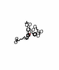 COCCCN1C(=O)COc2ccc(N(C(=O)[C@H]3CN(C(=O)OC(C)(C)C)CC[C@@H]3c3ccc4ccn(CCCCC(=O)OC)c4c3)C3CC3)cc21